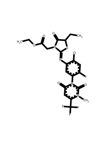 CCOC(=O)CN1C(=O)C(CC)SC1=Nc1cc(-n2c(=O)cc(C(F)(F)F)n(C)c2=O)c(F)cc1Cl